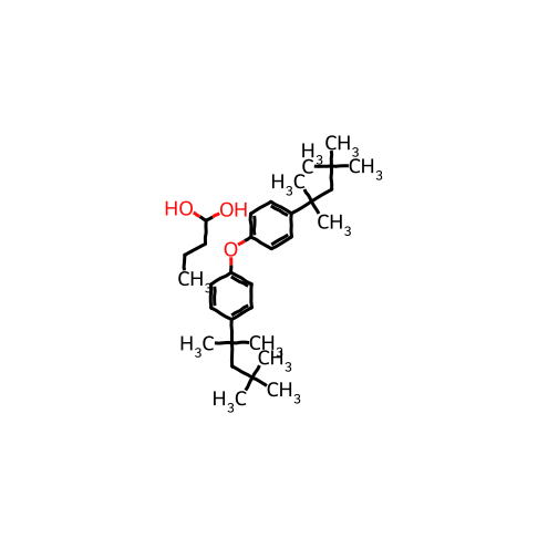 CC(C)(C)CC(C)(C)c1ccc(Oc2ccc(C(C)(C)CC(C)(C)C)cc2)cc1.CCCC(O)O